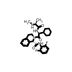 CN[C@@H](C)C(=O)N[C@H](C(=O)N1CCc2ccccc2[C@H]1C(=O)Nc1c(F)cccc1F)C1CCCCC1